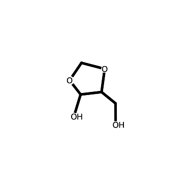 OCC1OCOC1O